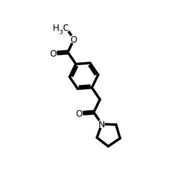 COC(=O)c1ccc(CC(=O)N2CCCC2)cc1